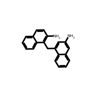 Nc1cc(Cc2c(N)ccc3ccccc23)c2ccccc2c1